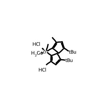 CC1=[C]([Zr]([CH3])([CH3])(=[GeH2])[C]2=C(C)C=C(C(C)(C)C)C2)CC(C(C)(C)C)=C1.Cl.Cl